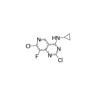 Fc1c(Cl)ncc2c(NC3CC3)nc(Cl)nc12